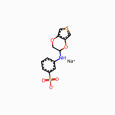 O=S(=O)([O-])c1cccc(NC2COc3cscc3O2)c1.[Na+]